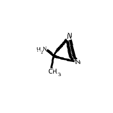 CC1(N)N=N1